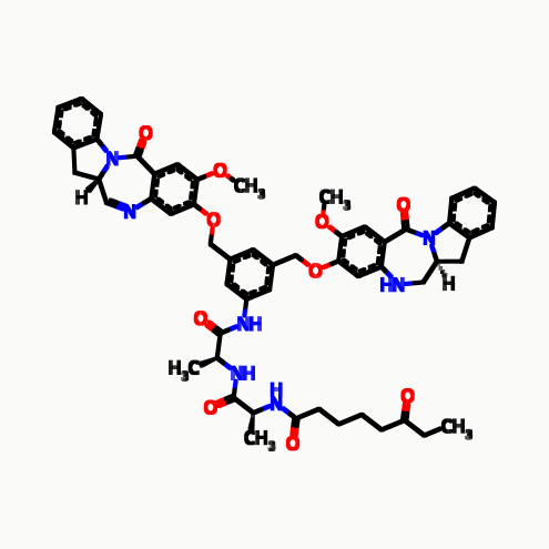 CCC(=O)CCCCC(=O)N[C@@H](C)C(=O)N[C@@H](C)C(=O)Nc1cc(COc2cc3c(cc2OC)C(=O)N2c4ccccc4C[C@H]2C=N3)cc(COc2cc3c(cc2OC)C(=O)N2c4ccccc4C[C@H]2CN3)c1